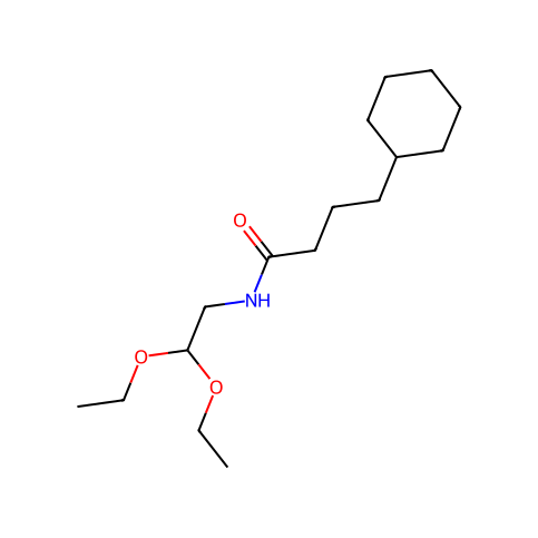 CCOC(CNC(=O)CCCC1CCCCC1)OCC